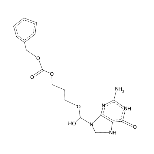 Nc1nc2c(c(=O)[nH]1)NCN2C(O)OCCCOC(=O)OCc1ccccc1